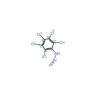 N#[N+]Nc1c(Cl)c(Cl)c(Cl)c(Cl)c1Cl